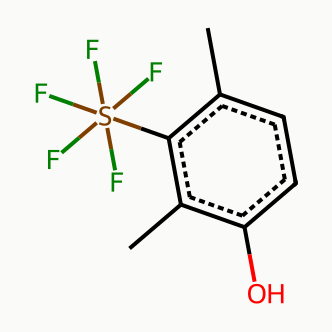 Cc1ccc(O)c(C)c1S(F)(F)(F)(F)F